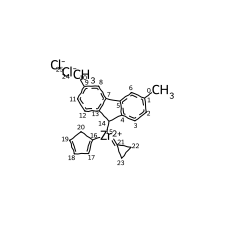 Cc1ccc2c(c1)-c1cc(C)ccc1[CH]2[Zr+2]([C]1=CC=CC1)=[C]1CC1.[Cl-].[Cl-]